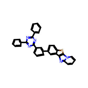 c1ccc(-c2nc(-c3ccccc3)nc(-c3cccc(-c4ccc5sc6c(nc7ccccn76)c5c4)c3)n2)cc1